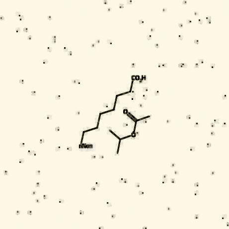 CC(=O)OC(C)C.CCCCCCCCCCCCCCCC(=O)O